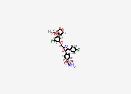 COC1(c2cc(F)cc(OCc3nc(-c4ccc(F)cc4)c(-c4ccc(S(N)(=O)=O)cc4)o3)c2)C=COCC1